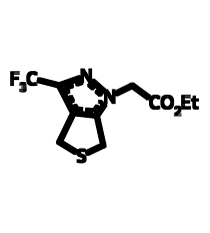 CCOC(=O)Cn1nc(C(F)(F)F)c2c1CSC2